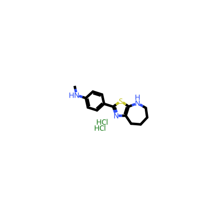 CNc1ccc(-c2nc3c(s2)NCCCC3)cc1.Cl.Cl